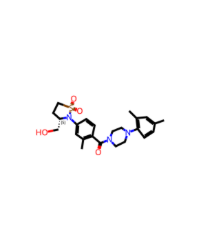 Cc1ccc(N2CCN(C(=O)c3ccc(N4[C@H](CO)CCS4(=O)=O)cc3C)CC2)c(C)c1